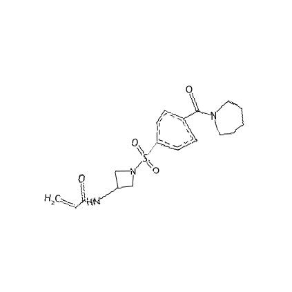 C=CC(=O)NC1CN(S(=O)(=O)c2ccc(C(=O)N3CCCCC3)cc2)C1